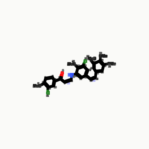 COc1ccc(C(=O)/C=C\Nc2cc(/C=C\c3cc(OC)c(OC)c(OC)c3)cc(Cl)c2OC)cc1Cl